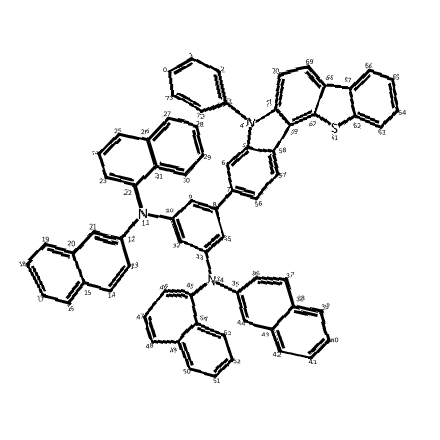 c1ccc(-n2c3cc(-c4cc(N(c5ccc6ccccc6c5)c5cccc6ccccc56)cc(N(c5ccc6ccccc6c5)c5cccc6ccccc56)c4)ccc3c3c4sc5ccccc5c4ccc32)cc1